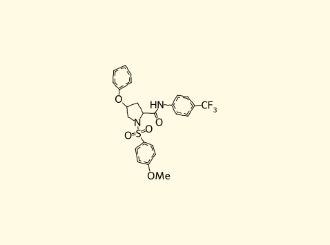 COc1ccc(S(=O)(=O)N2CC(Oc3ccccc3)CC2C(=O)Nc2ccc(C(F)(F)F)cc2)cc1